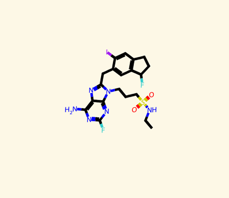 CCNS(=O)(=O)CCCn1c(Cc2cc3c(cc2I)CCC3F)nc2c(N)nc(F)nc21